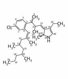 C=C(c1ccc(Cl)cc1/C=C(/C)CC(C)CC(C)CCC)C(C)/C=c1/c(CC)c[nH]c1=C